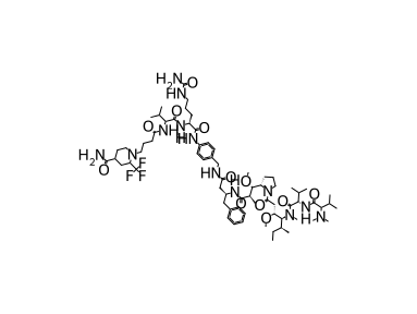 CC[C@H](C)[C@@H]([C@@H](CC(=O)N1CCC[C@H]1[C@H](OC)[C@@H](C)C(=O)N[C@H](CC(=O)NCc1ccc(NC(=O)[C@H](CCCNC(N)=O)NC(=O)C(NC(=O)CCCN2CCC(C(N)=O)CC2C(F)(F)F)C(C)C)cc1)Cc1ccccc1)OC)N(C)C(=O)[C@@H](NC(=O)C(C(C)C)N(C)C)C(C)C